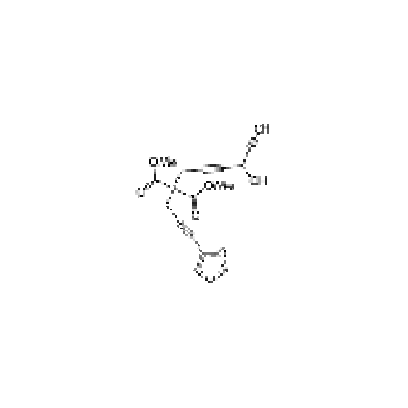 C#CC(O)C#CCC(CC#Cc1ccco1)(C(=O)OC)C(=O)OC